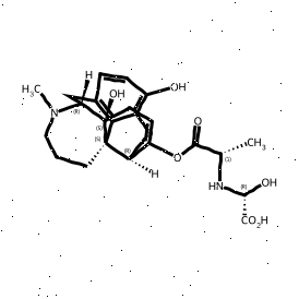 C[C@H](N[C@H](O)C(=O)O)C(=O)OC1=CC[C@@]2(O)[C@H]3Cc4ccc(O)c5c4[C@@]2(CCCN3C)[C@H]1O5